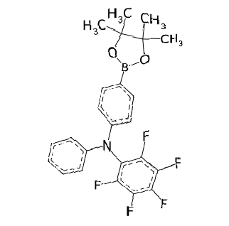 CC1(C)OB(c2ccc(N(c3ccccc3)c3c(F)c(F)c(F)c(F)c3F)cc2)OC1(C)C